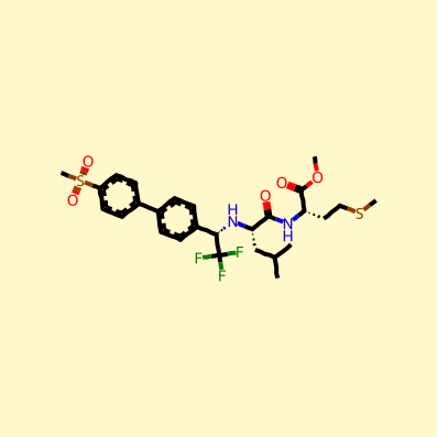 COC(=O)[C@H](CCSC)NC(=O)[C@H](CC(C)C)N[C@@H](c1ccc(-c2ccc(S(C)(=O)=O)cc2)cc1)C(F)(F)F